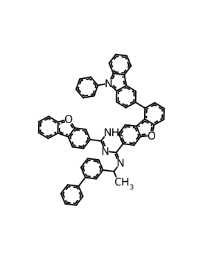 CC(/N=C(\N=C(/N)c1ccc2c(c1)oc1ccccc12)c1ccc2c(c1)oc1cccc(-c3ccc4c(c3)c3ccccc3n4-c3ccccc3)c12)c1cccc(-c2ccccc2)c1